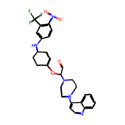 O=CC(OC1CCC(Nc2ccc([N+](=O)[O-])c(C(F)(F)F)c2)CC1)N1CCN(c2ccnc3ccccc23)CC1